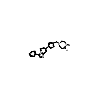 CN1CCN(Cc2ccc(-c3ccn4c(-c5ccccc5)cnc4c3)cc2)CCC1=O